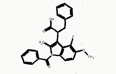 COc1ccc2c(c1F)c(C(Cc1ccccc1)C(=O)O)c(C)n2C(=O)c1ccccc1